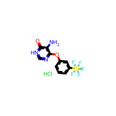 Cl.Nc1c(Oc2cccc(S(F)(F)(F)(F)F)c2)nc[nH]c1=O